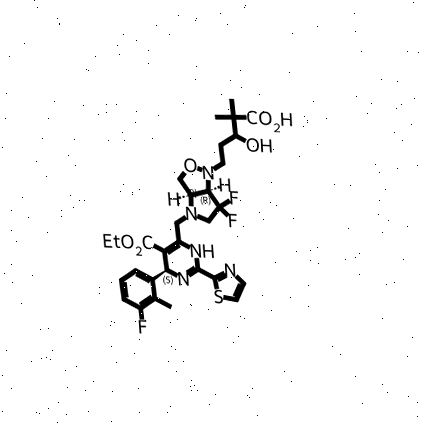 CCOC(=O)C1=C(CN2CC(F)(F)[C@H]3[C@@H]2CON3CCC(O)C(C)(C)C(=O)O)NC(c2nccs2)=N[C@H]1c1cccc(F)c1C